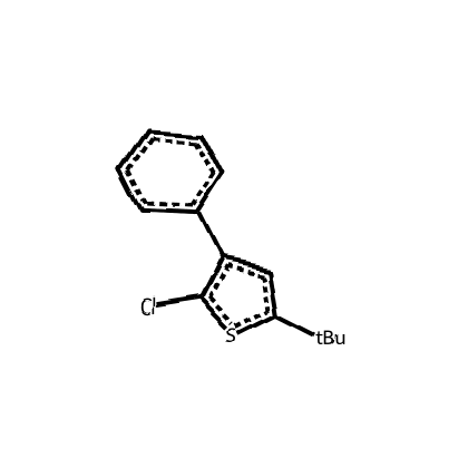 CC(C)(C)c1cc(-c2ccccc2)c(Cl)s1